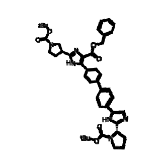 CC(C)(C)OC(=O)N1CCC(c2nc(C(=O)OCc3ccccc3)c(-c3ccc(-c4ccc(-c5cnc([C@@H]6CCCN6C(=O)OC(C)(C)C)[nH]5)cc4)cc3)[nH]2)C1